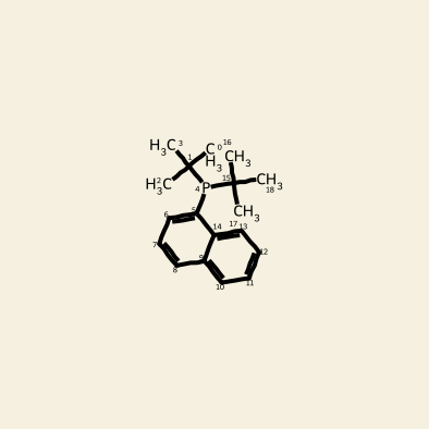 CC(C)(C)P(c1cccc2ccccc12)C(C)(C)C